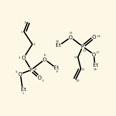 C=CCOP(=O)(OCC)OCC.C=CCP(=O)(OCC)OCC